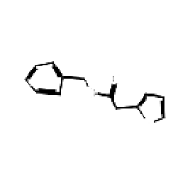 O=C([CH]c1cccs1)OCc1ccccc1